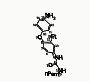 CCCCCNC(=O)Nc1ccc(Oc2ccc(N)cc2)c(CC)c1